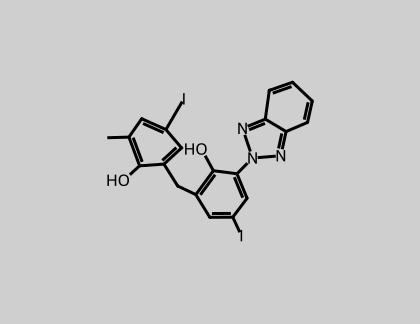 Cc1cc(I)cc(Cc2cc(I)cc(-n3nc4ccccc4n3)c2O)c1O